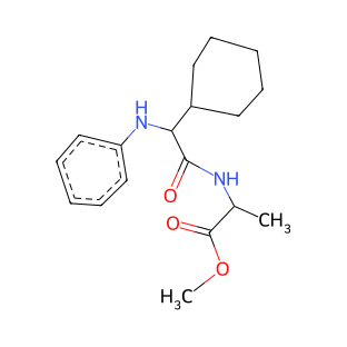 COC(=O)C(C)NC(=O)C(Nc1ccccc1)C1CCCCC1